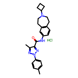 Cc1ccc(-n2nc(C)c(C(=O)Nc3ccc4c(c3)CCN(C3CCC3)CC4)n2)cc1.Cl